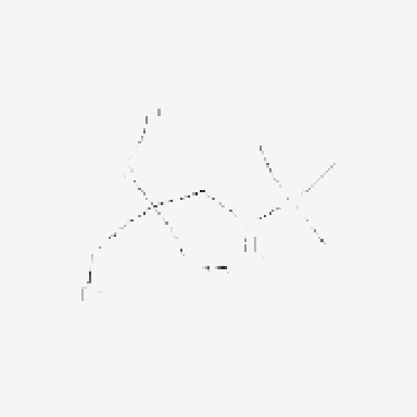 CCOC(C[SiH2][Si](C)(C)C)(OCC)OCC